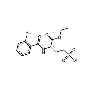 CCOC(=O)[C@H](CCS(=O)(=O)O)NC(=O)c1ccccc1O